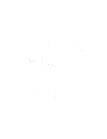 N#CC(C#N)(CCSC(F)(F)C(F)Cl)CC(F)(F)C(F)(F)C(F)(F)C(F)F